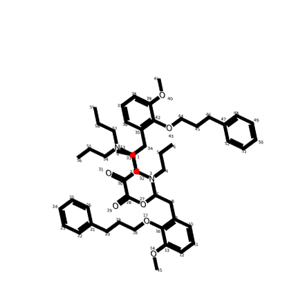 CCCN(CCC)C(Cc1cccc(OC)c1OCCCc1ccccc1)OC(=O)C(=O)OC(Cc1cccc(OC)c1OCCCc1ccccc1)N(CCC)CCC